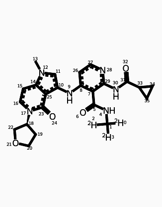 [2H]C([2H])([2H])NC(=O)c1c(Nc2cn(C)c3ccn([C@H]4CCOC4)c(=O)c23)ccnc1NC(=O)C1CC1